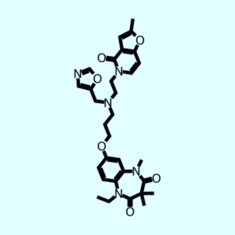 CCN1C(=O)C(C)(C)C(=O)N(C)c2cc(OCCCN(CCn3ccc4oc(C)cc4c3=O)Cc3cnco3)ccc21